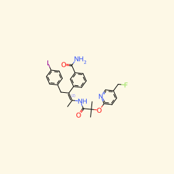 C/C(NC(=O)C(C)(C)Oc1ccc(CF)cn1)=C(\Cc1ccc(I)cc1)c1cccc(C(N)=O)c1